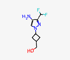 Nc1cn(C2CC(CO)C2)nc1C(F)F